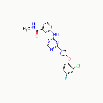 CNC(=O)c1cccc(Nc2ncnc(N3CC(Oc4ccc(F)cc4Cl)C3)n2)c1